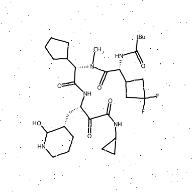 CN(C(=O)[C@H](NC(=O)C(C)(C)C)C1CC(F)(F)C1)[C@H](C(=O)N[C@@H](C[C@@H]1CCCNC1O)C(=O)C(=O)NC1CC1)C1CCCC1